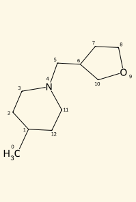 CC1CCN(CC2CCOC2)CC1